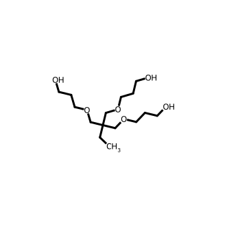 CCC(COCCCO)(COCCCO)COCCCO